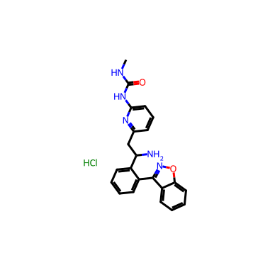 CNC(=O)Nc1cccc(CC(N)c2ccccc2-c2noc3ccccc23)n1.Cl